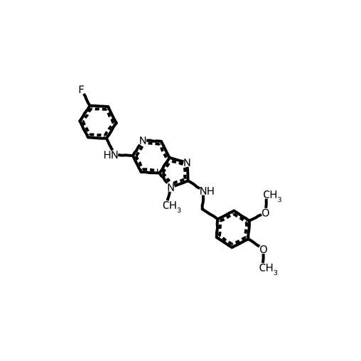 COc1ccc(CNc2nc3cnc(Nc4ccc(F)cc4)cc3n2C)cc1OC